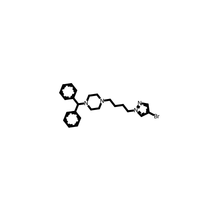 Brc1cnn(CCCCN2CCN(C(c3ccccc3)c3ccccc3)CC2)c1